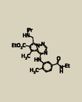 CCNC(=O)c1ccc(C)c(Nc2ncnn3c(CNC(C)C)c(C(=O)OCC)c(C)c23)c1